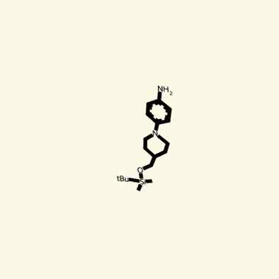 CC(C)(C)[Si](C)(C)OCC1CCN(c2ccc(N)cc2)CC1